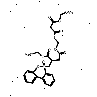 COCOC(=O)CC(=O)OCOC(=O)CC(CP1(=O)Oc2ccccc2-c2ccccc21)C(=O)OCOC